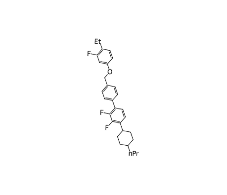 CCCC1CCC(c2ccc(-c3ccc(COc4ccc(CC)c(F)c4)cc3)c(F)c2F)CC1